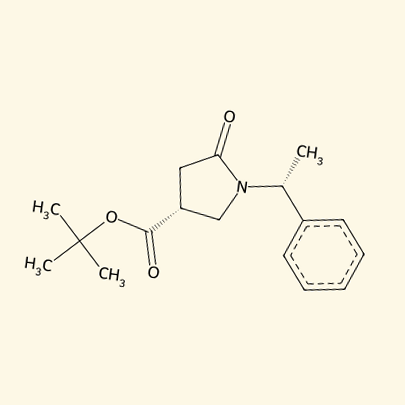 C[C@H](c1ccccc1)N1C[C@H](C(=O)OC(C)(C)C)CC1=O